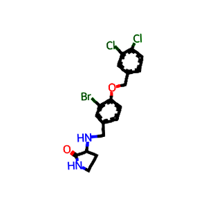 O=C1NCCC1NCc1ccc(OCc2ccc(Cl)c(Cl)c2)c(Br)c1